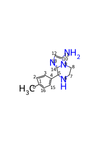 Cc1ccc(C2NCCn3c(N)cnc32)cc1